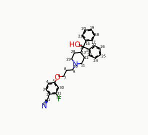 N#Cc1ccc(OCCCN2CCC(C(O)(c3ccccc3)c3ccccc3)CC2)cc1F